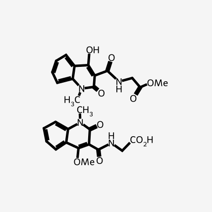 COC(=O)CNC(=O)c1c(O)c2ccccc2n(C)c1=O.COc1c(C(=O)NCC(=O)O)c(=O)n(C)c2ccccc12